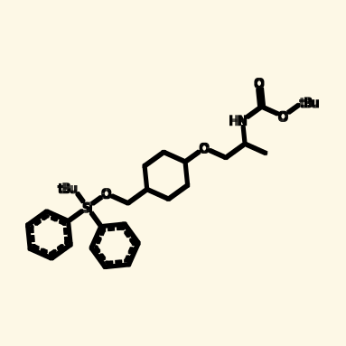 CC(COC1CCC(CO[Si](c2ccccc2)(c2ccccc2)C(C)(C)C)CC1)NC(=O)OC(C)(C)C